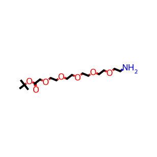 CC(C)(C)OC(=O)COCCOCCOCCOCCOCCN